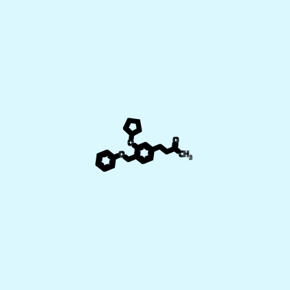 CC(=O)CCc1ccc(COc2ccccc2)c(OC2CCCC2)c1